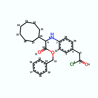 O=C(Cl)Cc1ccc(NC(C(=O)OCc2ccccc2)C2CCCCCCC2)cc1